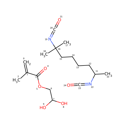 C=C(C)C(=O)OCC(O)O.CC(CCCCC(C)(C)N=C=O)N=C=O